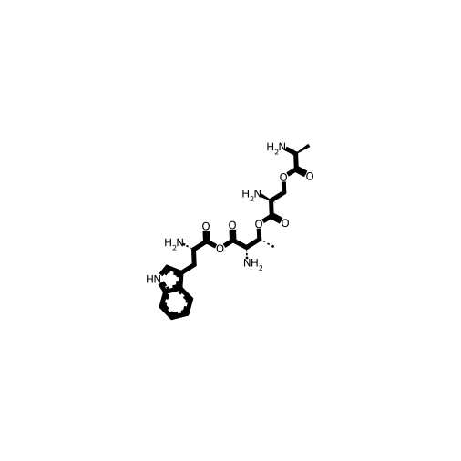 C[C@H](N)C(=O)OC[C@H](N)C(=O)O[C@H](C)[C@H](N)C(=O)OC(=O)[C@@H](N)Cc1c[nH]c2ccccc12